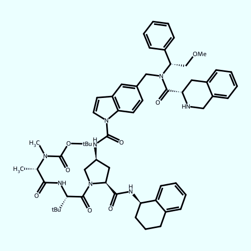 COC[C@@H](c1ccccc1)N(Cc1ccc2c(ccn2C(=O)N[C@H]2C[C@@H](C(=O)N[C@@H]3CCCc4ccccc43)N(C(=O)[C@@H](NC(=O)[C@H](C)N(C)C(=O)OC(C)(C)C)C(C)(C)C)C2)c1)C(=O)[C@@H]1Cc2ccccc2CN1